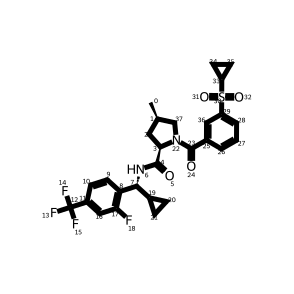 C[C@@H]1C[C@H](C(=O)N[C@@H](c2ccc(C(F)(F)F)cc2F)C2CC2)N(C(=O)c2cccc(S(=O)(=O)C3CC3)c2)C1